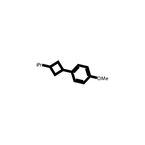 COc1ccc(C2CC(C(C)C)C2)cc1